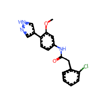 COc1cc(NC(=O)Cc2ccccc2Cl)ccc1-c1cn[nH]c1